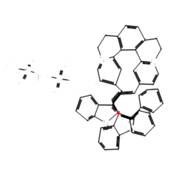 C(=C\c1c(-c2ccccc2)[nH]c2ccccc12)/c1cc[n+]2c(c1)-c1c(ccc3c1-c1cc(/C=C/c4c(-c5ccccc5)[nH]c5ccccc45)cc[n+]1CC3)CC2.O=S(=O)([O-])C(F)(F)F.O=S(=O)([O-])C(F)(F)F